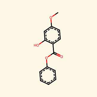 COc1ccc(C(=O)Oc2ccccc2)c(O)c1